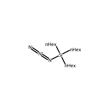 CCCCCC[Si](CCCCCC)(CCCCCC)N=[N+]=[N-]